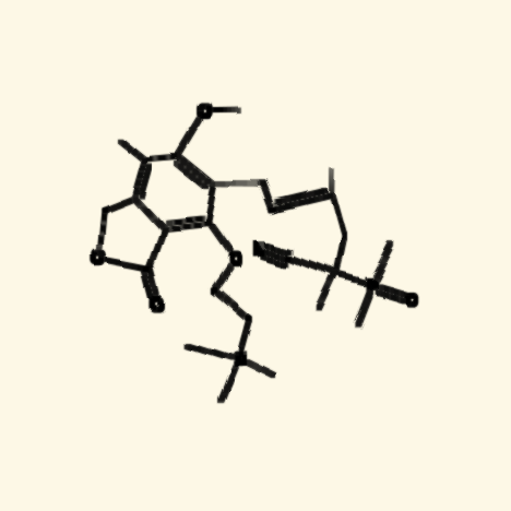 COc1c(C)c2c(c(OCC[Si](C)(C)C)c1C/C=C(\C)CC(C)(C#N)P(C)(C)=O)C(=O)OC2